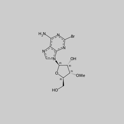 CO[C@H]1[C@@H](O)[C@H](n2cnc3c(N)nc(Br)nc32)O[C@@H]1CO